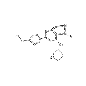 CCOc1ccc(-c2cc(N[C@@H]3CCOC3)c3c(cnn3C(C)C)n2)cc1